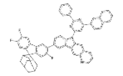 Fc1cc2c(cc1F)C1(c3cc(F)c(-c4ccc5c(c4)c4cc6ncccc6cc4n5-c4cc(-c5ccc6ccccc6c5)nc(-c5ccccc5)n4)cc3-2)C2CC3CC(C2)CC1C3